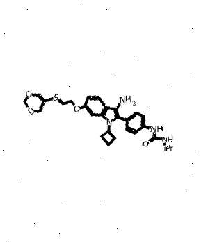 CC(C)NC(=O)Nc1ccc(-c2c(N)c3ccc(OCCSC4COCOC4)cc3n2C2CCC2)cc1